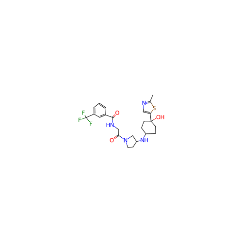 Cc1ncc(C2(O)CCC(NC3CCN(C(=O)CNC(=O)c4cccc(C(F)(F)F)c4)C3)CC2)s1